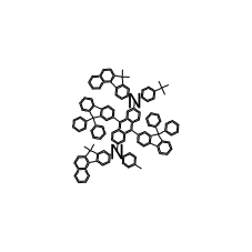 Cc1ccc(N(c2ccc3c(c2)C(C)(C)c2ccc4ccccc4c2-3)c2ccc3c(-c4ccc5c(c4)C(c4ccccc4)(c4ccccc4)c4ccccc4-5)c4cc(N(c5ccc(C(C)(C)C)cc5)c5ccc6c(c5)C(C)(C)c5ccc7ccccc7c5-6)ccc4c(-c4ccc5c(c4)C(c4ccccc4)(c4ccccc4)c4ccccc4-5)c3c2)cc1